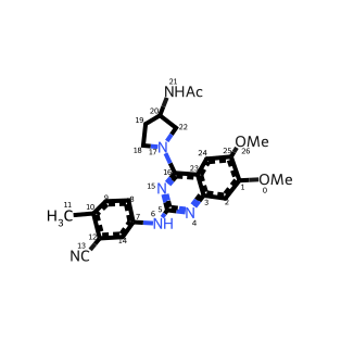 COc1cc2nc(Nc3ccc(C)c(C#N)c3)nc(N3CCC(NC(C)=O)C3)c2cc1OC